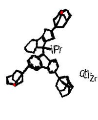 CC(C)C1(C2c3ccc(C45CC6CC(CC(C6)C4)C5)cc3-c3cc(C45CC6CC(CC(C6)C4)C5)ccc32)C2=C(CC(C34CC5CC(CC(C5)C3)C4)=C2)C2CCCCC21.[Cl-].[Cl-].[Zr+2]